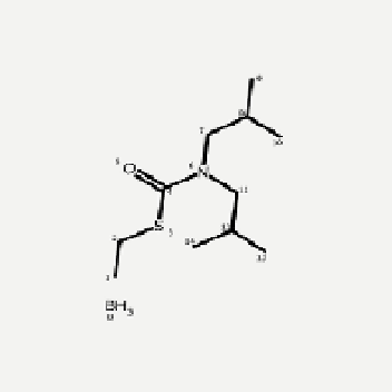 B.CCSC(=O)N(CC(C)C)CC(C)C